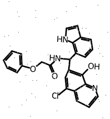 O=C(COc1ccccc1)NC(c1cc(Cl)c2cccnc2c1O)c1cccc2cc[nH]c12